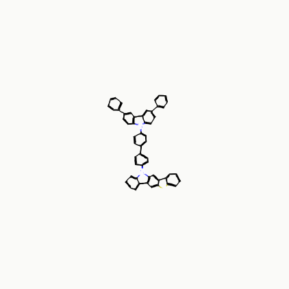 c1ccc(-c2ccc3c(c2)c2cc(-c4ccccc4)ccc2n3-c2ccc(-c3ccc(-n4c5ccccc5c5cc6sc7ccccc7c6cc54)cc3)cc2)cc1